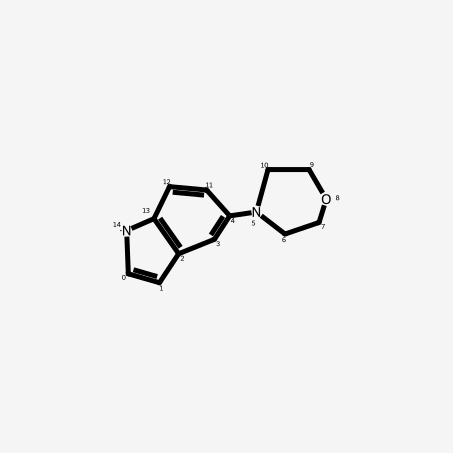 C1=Cc2cc(N3CCOCC3)ccc2[N]1